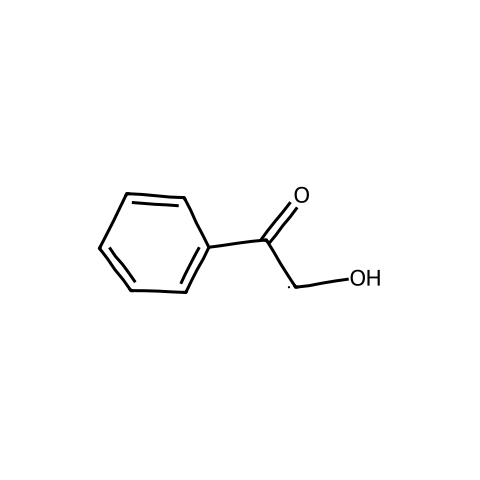 O=C([CH]O)c1ccccc1